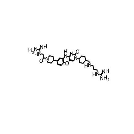 N=C(N)NCCCNCC1CCC(n2cc3c(nc2=O)Nc2cc(C4CCN(C(=O)CNC(=N)N)CC4)ccc2O3)CC1